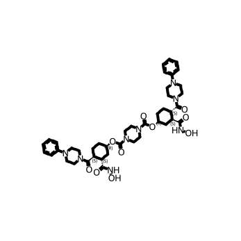 O=C(NO)[C@H]1C[C@H](OC(=O)N2CCN(C(=O)O[C@@H]3CC[C@H](C(=O)N4CCN(c5ccccc5)CC4)[C@@H](C(=O)NO)C3)CC2)CC[C@@H]1C(=O)N1CCN(c2ccccc2)CC1